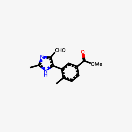 COC(=O)c1ccc(C)c(-c2[nH]c(C)nc2C=O)c1